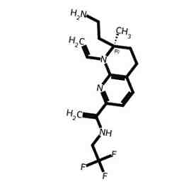 C=CN1c2nc(C(=C)NCC(F)(F)F)ccc2CC[C@]1(C)CCN